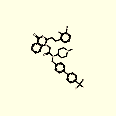 CN1CCC(N(Cc2ccc(-c3ccc(C(F)(F)F)cc3)cc2)C(=O)Cn2c(CCc3cccc(F)c3F)nc(=O)c3ccccc32)CC1